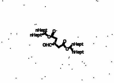 CCCCCCCC(CCCCCCC)OC(=O)CN(C=O)CC(=O)OC(CCCCCCC)CCCCCCC